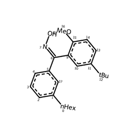 CCCCCCc1cccc(C(=NO)c2cc(C(C)(C)C)ccc2OC)c1